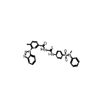 Cc1ccc(C(=O)NC(=S)Nc2ccc(S(=O)(=O)N(C)c3ccccc3)cc2)cc1-n1nnc2ccccc21